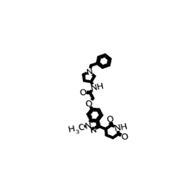 Cn1nc(C2CCC(=O)NC2=O)c2ccc(OCC(=O)NC3CCN(Cc4ccccc4)C3)cc21